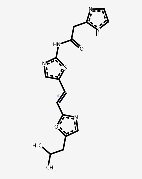 CC(C)Cc1cnc(/C=C/c2cnc(NC(=O)Cc3ncc[nH]3)s2)o1